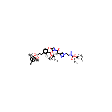 Cc1c(CCB2O[C@@H]3C[C@@H]4C[C@@H](C4(C)C)[C@]3(C)O2)ccc(OC2CN(C(=O)Cc3cn(CCNC(=O)OC(C)(C)C)cn3)C2)c1C(=O)OC(C)(C)C